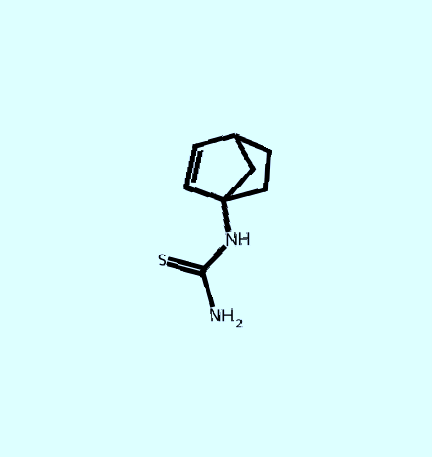 NC(=S)NC12C=CC(CC1)C2